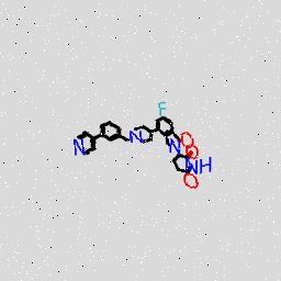 O=C1CCC(N2Cc3c(cc(F)cc3C3CCN(Cc4cccc(-c5ccncc5)c4)CC3)C2=O)C(=O)N1